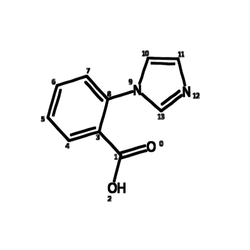 O=C(O)c1ccccc1-n1ccnc1